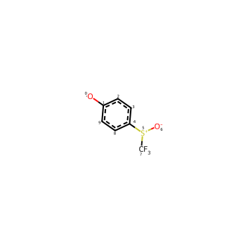 [O]c1ccc([S+]([O-])C(F)(F)F)cc1